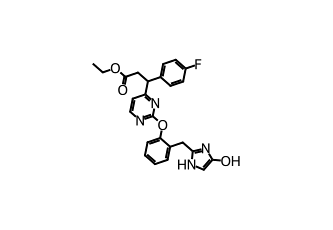 CCOC(=O)CC(c1ccc(F)cc1)c1ccnc(Oc2ccccc2Cc2nc(O)c[nH]2)n1